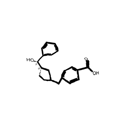 O=C(O)c1ccc(CC2CC[C@H]([C@H](O)c3ccccc3)C2)cc1